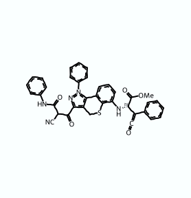 COC(=O)[C@@H](Nc1cccc2c1SCc1c(C(=O)C(C#N)C(=O)Nc3ccccc3)nn(-c3ccccc3)c1-2)C(=C=O)c1ccccc1